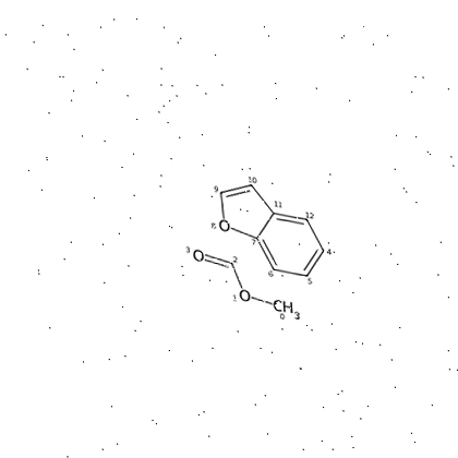 COC=O.c1ccc2occc2c1